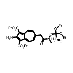 CCOC(=O)c1c2ccc(CC(=O)N(C)OC(OCC)(OCC)[PH2]=O)ccc-2c(C(=O)OCC)c1N